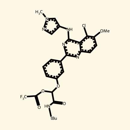 COc1ccc2nc(-c3cccc(OC(OC(=O)C(F)(F)F)C(=O)NC(C)(C)C)c3)nc(Nc3cnn(C)c3)c2c1Cl